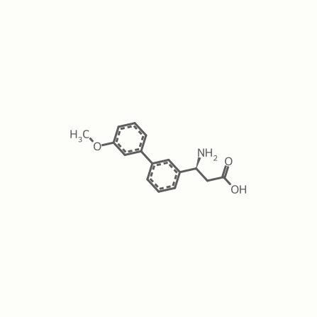 COc1cccc(-c2cccc([C@@H](N)CC(=O)O)c2)c1